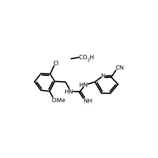 CC(=O)O.COc1cccc(Cl)c1CNC(=N)Nc1cccc(C#N)n1